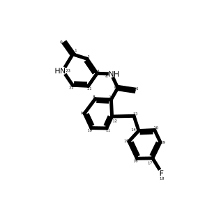 C=C1C=C(NC(=C)c2ccccc2Cc2ccc(F)cc2)C=CN1